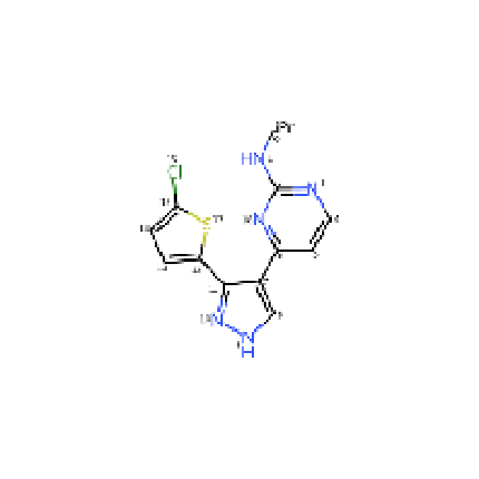 CC(C)Nc1nccc(-c2c[nH]nc2-c2ccc(Cl)s2)n1